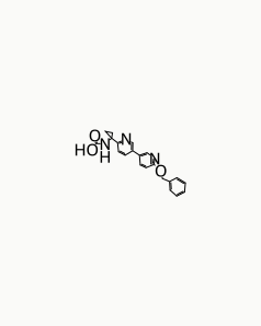 O=C(O)NC1(c2ccc(-c3ccc(OCc4ccccc4)nc3)cn2)CC1